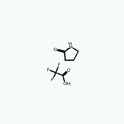 O=C(O)C(F)(F)F.O=C1CCCN1